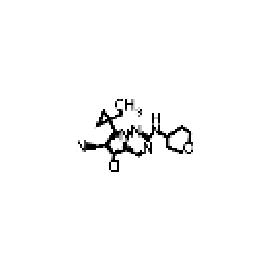 CCC1(c2c(C#N)c(Cl)c3cnc(NC4CCOCC4)nn23)CC1